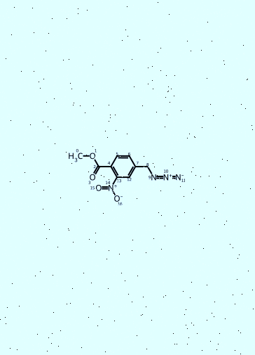 COC(=O)c1ccc(CN=[N+]=[N-])cc1[N+](=O)[O-]